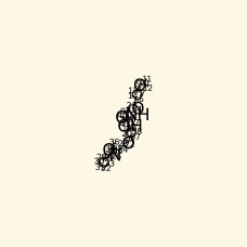 CC(=CC(=O)c1ccc(OC(C)C)cc1)N[C@@H](Cc1ccc(OCCc2nc(-c3ccccc3)oc2C)cc1)C(=O)O